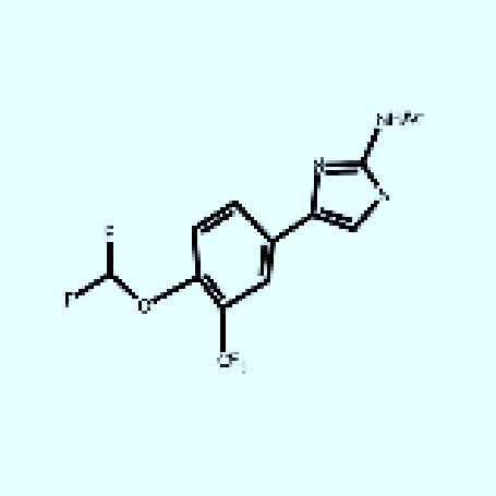 CC(=O)Nc1nc(-c2ccc(OC(F)F)c(C(F)(F)F)c2)cs1